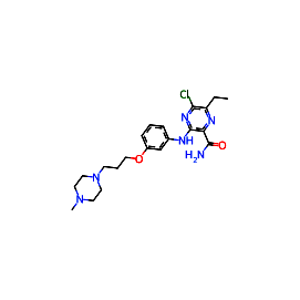 CCc1nc(C(N)=O)c(Nc2cccc(OCCCN3CCN(C)CC3)c2)nc1Cl